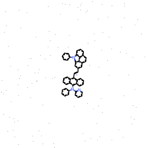 C(=C\c1c2ccccc2c(N(c2ccccc2)c2ccccn2)c2ccccc12)/c1cc2ccc3cccc4c3c2c(c1)n4-c1ccccc1